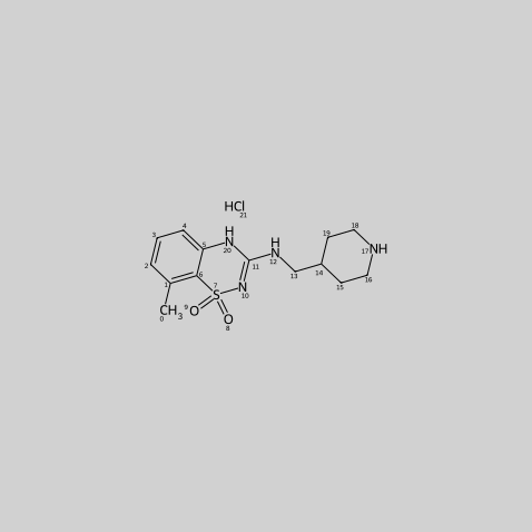 Cc1cccc2c1S(=O)(=O)N=C(NCC1CCNCC1)N2.Cl